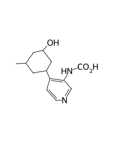 CC1CC(O)CC(c2ccncc2NC(=O)O)C1